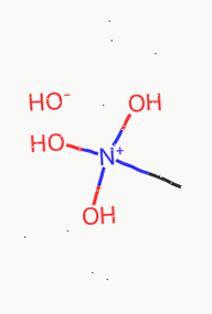 C[N+](O)(O)O.[OH-]